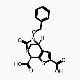 O=C(O)c1cc2c(s1)[C@@H](C(=O)O)N1C[C@@H]2N(OCc2ccccc2)C1=O